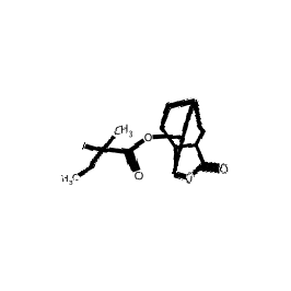 CCC(C)(I)C(=O)OC1C2CCC3C(C2)C(=O)OC31